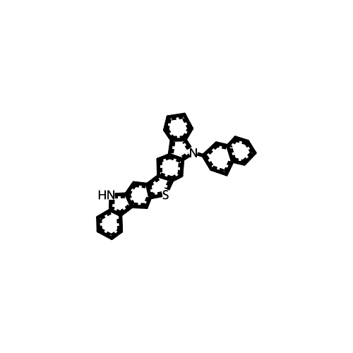 c1ccc2cc(-n3c4ccccc4c4cc5c(cc43)sc3cc4c(cc35)[nH]c3ccccc34)ccc2c1